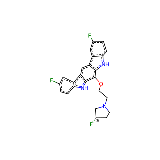 Fc1ccc2[nH]c3c(OCCN4CC[C@H](F)C4)c4[nH]c5ccc(F)cc5c4cc3c2c1